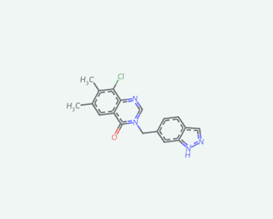 Cc1cc2c(=O)n(Cc3ccc4cn[nH]c4c3)cnc2c(Cl)c1C